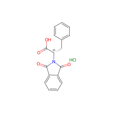 Cl.O=C(O)[C@H](Cc1ccccc1)N1C(=O)c2ccccc2C1=O